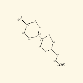 CCC[C@H]1CC[C@H](C2CCC(CCC=O)CC2)CC1